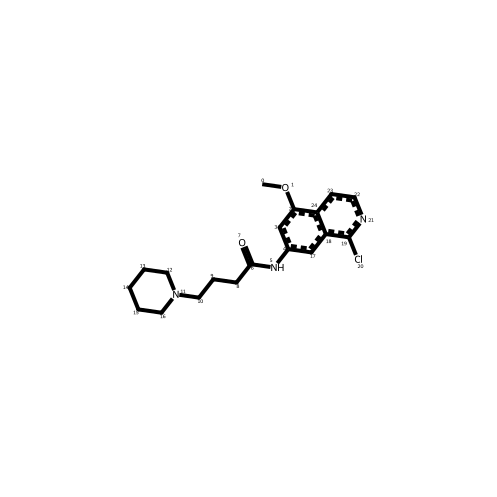 COc1cc(NC(=O)CCCN2CCCCC2)cc2c(Cl)nccc12